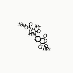 CCCOc1oc(=O)c2cc(NC(=O)[C@@H](NC(=O)OC(C)(C)C)C(C)C)ccc2c1Cl